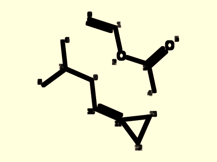 C=COC(C)=O.CC(C)CC=C1CC1